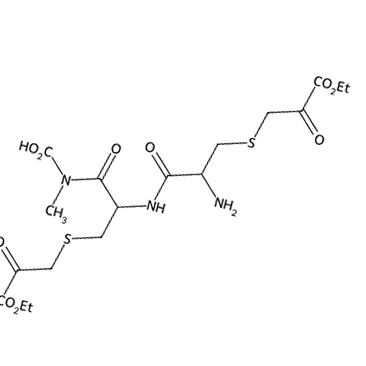 CCOC(=O)C(=O)CSCC(N)C(=O)NC(CSCC(=O)C(=O)OCC)C(=O)N(C)C(=O)O